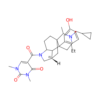 CCc1ccc(O)cc1C12CCN(CC3CC3)C(C)C13CCC1C2[C@@H](CN1C(=O)c1cn(C)c(=O)n(C)c1=O)C3